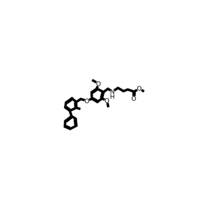 COC(=O)CCCNCc1c(OC)cc(OCc2cccc(-c3ccccc3)c2C)cc1OC